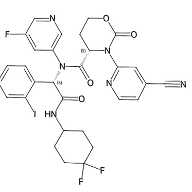 N#Cc1ccnc(N2C(=O)OCC[C@H]2C(=O)N(c2cncc(F)c2)[C@H](C(=O)NC2CCC(F)(F)CC2)c2ccccc2I)c1